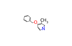 Cc1cnccc1OCc1ccccc1